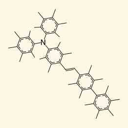 Cc1c(C)c(C)c(-c2c(C)c(C)c(/C=C/c3c(C)c(C)c(N(c4c(C)c(C)c(C)c(C)c4C)c4c(C)c(C)c(C)c(C)c4C)c(C)c3C)c(C)c2C)c(C)c1C